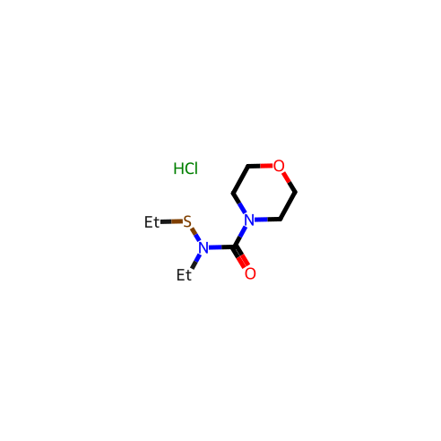 CCSN(CC)C(=O)N1CCOCC1.Cl